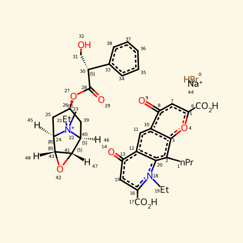 Br.CCCc1c2oc(C(=O)O)cc(=O)c2cc2c(=O)cc(C(=O)O)n(CC)c12.CC[N+]1(C)[C@@H]2C[C@@H](OC(=O)[C@H](CO)c3ccccc3)C[C@H]1[C@@H]1O[C@@H]12.[Na+]